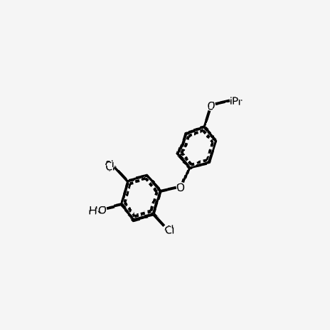 CC(C)Oc1ccc(Oc2cc(Cl)c(O)cc2Cl)cc1